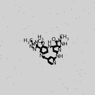 COc1c(Nc2cc(Nc3cc(C#N)ccn3)nc3[nH]n(C)c(=O)c23)cccc1-c1nnn(C)n1